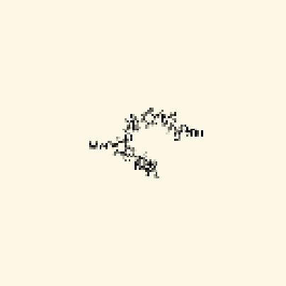 COc1cc(OCc2csc(-c3ccc(CN4CCN(C(=O)OC(C)(C)C)CC4)cc3)n2)c2cc(-c3cn4nc(C)sc4n3)oc2c1